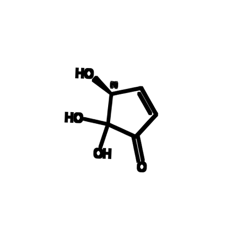 O=C1C=C[C@H](O)C1(O)O